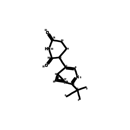 CC(C)(C)c1ncc(C2CCC(=O)NC2=O)c2[n+]1=C=2